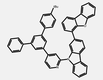 CC(C)(C)c1ccc(-c2cc(-c3ccccc3)cc(-c3ccnc(-n4c5ccccc5c5ccc(-c6cccc7c6oc6ccccc67)cc54)c3)c2)cc1